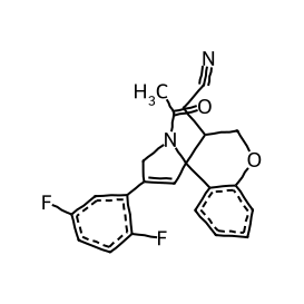 CC(=O)N1CC(c2cc(F)ccc2F)=CC12c1ccccc1OCC2CC#N